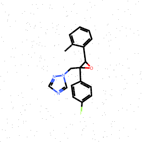 Cc1ccccc1C1OC1(Cn1cncn1)c1ccc(F)cc1